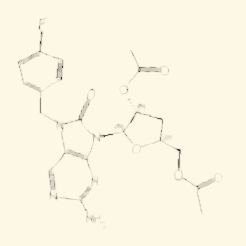 CC(=O)OC[C@@H]1C[C@@H](OC(C)=O)[C@H](n2c(=O)n(Cc3ccc(F)cc3)c3cnc(N)nc32)O1